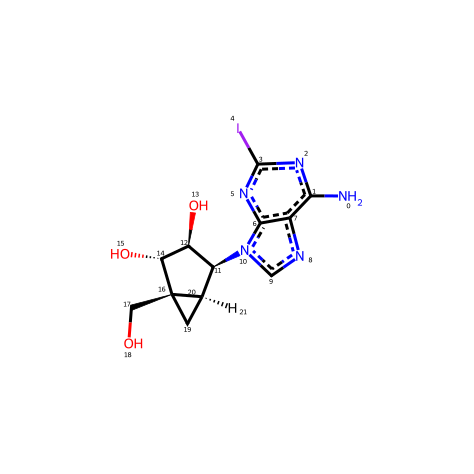 Nc1nc(I)nc2c1ncn2[C@@H]1[C@H](O)[C@@H](O)[C@@]2(CO)C[C@H]12